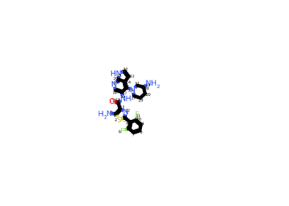 Nc1sc(-c2c(F)cccc2F)nc1C(=O)Nc1cnc2[nH]ccc2c1N1CCCC(N)C1